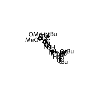 COc1cc(OC)cc(-c2cc3cnc(NCc4cn(CCN/C(=N\C(=O)OC(C)(C)C)NC(=O)OC(C)(C)C)nn4)nc3nc2NC(=O)NC(C)(C)C)c1